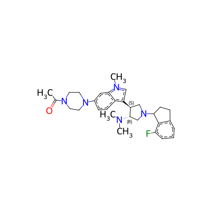 CC(=O)N1CCN(c2ccc3c([C@H]4CN(C5CCc6cccc(F)c65)C[C@@H]4N(C)C)cn(C)c3c2)CC1